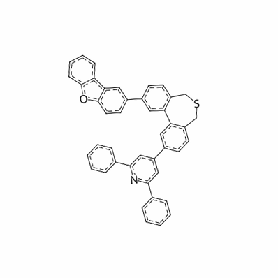 c1ccc(-c2cc(-c3ccc4c(c3)-c3cc(-c5ccc6oc7ccccc7c6c5)ccc3CSC4)cc(-c3ccccc3)n2)cc1